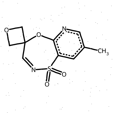 Cc1cnc2c(c1)S(=O)(=O)N=CC1(COC1)O2